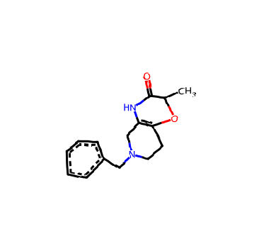 CC1OC2=C(CN(Cc3ccccc3)CC2)NC1=O